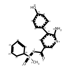 C[S@@](=O)(=NC(=O)c1cnc(N)c(-c2ccc(O)cc2)c1)C1C=CC=CC1